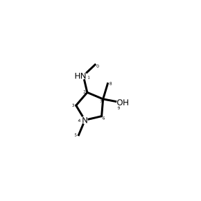 CNC1CN(C)CC1(C)O